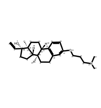 C=C[C@]1(O)CC[C@H]2[C@@H]3CCc4cc(OCCCN(C)C)ccc4[C@H]3CC[C@@]21C